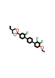 C=CC1COC(c2ccc(-c3ccc(-c4ccc(OCC)c(F)c4F)cc3)c(F)c2)OC1